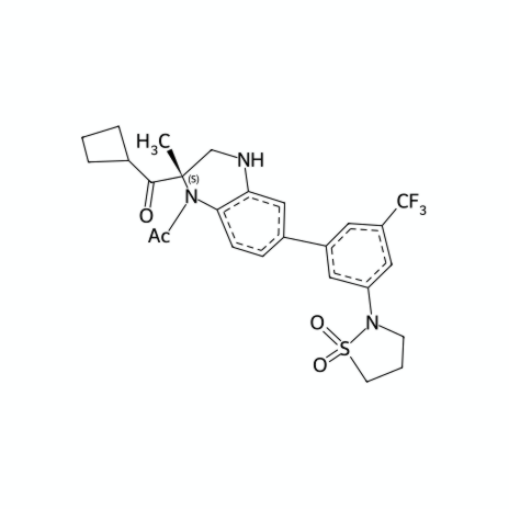 CC(=O)N1c2ccc(-c3cc(N4CCCS4(=O)=O)cc(C(F)(F)F)c3)cc2NC[C@@]1(C)C(=O)C1CCC1